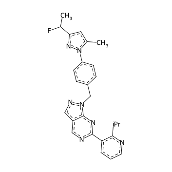 Cc1cc(C(C)F)nn1-c1ccc(Cn2ncc3cnc(-c4cccnc4C(C)C)nc32)cc1